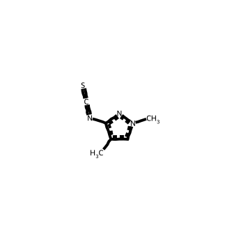 Cc1cn(C)nc1N=C=S